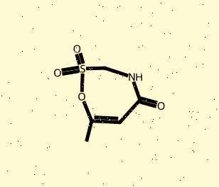 CC1=CC(=O)NCS(=O)(=O)O1